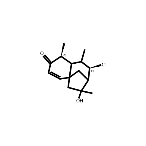 CC1C2[C@H](C)C(=O)C=CC23CC([C@@H]1Cl)C(C)(O)C3